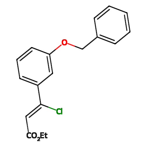 CCOC(=O)/C=C(\Cl)c1cccc(OCc2ccccc2)c1